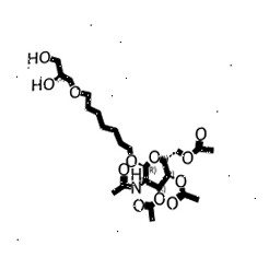 CC(=O)N[C@H]1[C@H](OCCCCCCCOC[C@@H](O)CO)O[C@H](COC(C)=O)[C@H](OC(C)=O)[C@@H]1OC(C)=O